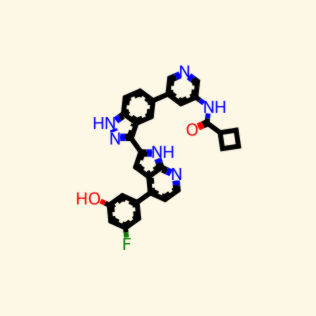 O=C(Nc1cncc(-c2ccc3[nH]nc(-c4cc5c(-c6cc(O)cc(F)c6)ccnc5[nH]4)c3c2)c1)C1CCC1